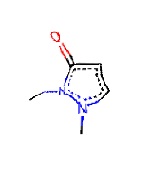 [CH2]n1ccc(=O)n1C